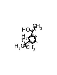 CCC(O)c1cccc(C(C)(C)C)c1